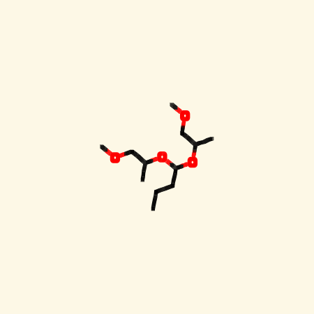 CCCC(OC(C)COC)OC(C)COC